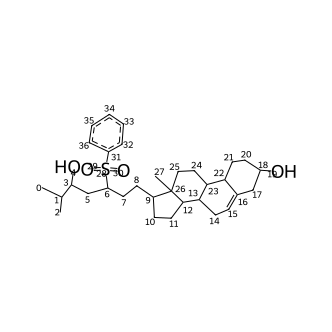 CC(C)C(O)CC(CCC1CCC2C3CC=C4CC(O)CCC4C3CCC12C)S(=O)(=O)c1ccccc1